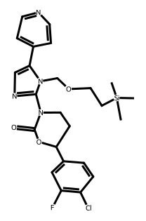 C[Si](C)(C)CCOCn1c(-c2ccncc2)cnc1N1CCC(c2ccc(Cl)c(F)c2)OC1=O